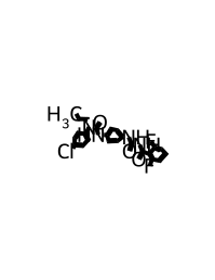 CCCN(C(=O)Nc1ccc(NC(=O)NC(=O)c2c(F)cccc2F)cc1)c1ccc(Cl)cc1